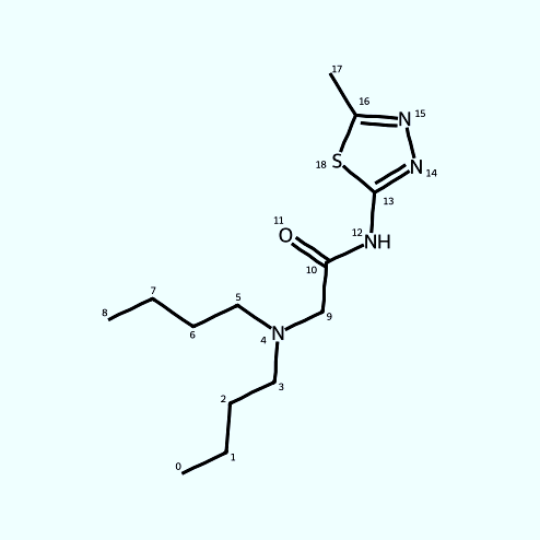 CCCCN(CCCC)CC(=O)Nc1nnc(C)s1